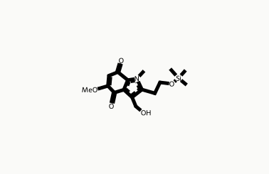 COC1=CC(=O)c2c(c(CO)c(CCO[Si](C)(C)C)n2C)C1=O